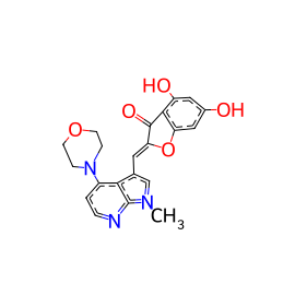 Cn1cc(/C=C2\Oc3cc(O)cc(O)c3C2=O)c2c(N3CCOCC3)ccnc21